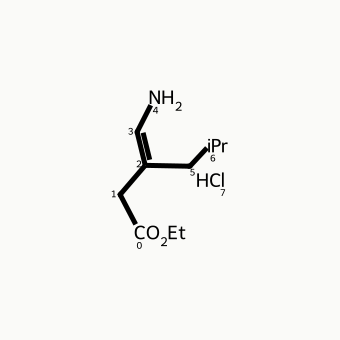 CCOC(=O)CC(=CN)CC(C)C.Cl